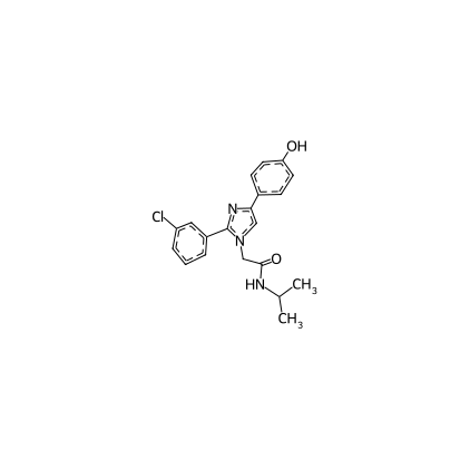 CC(C)NC(=O)Cn1cc(-c2ccc(O)cc2)nc1-c1cccc(Cl)c1